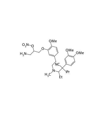 CCC(N(C)CCc1ccc(OC)c(OCC(CN)O[N+](=O)[O-])c1)C(C#N)(c1ccc(OC)c(OC)c1)C(C)C